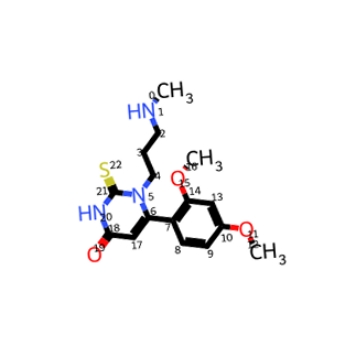 CNCCCn1c(-c2ccc(OC)cc2OC)cc(=O)[nH]c1=S